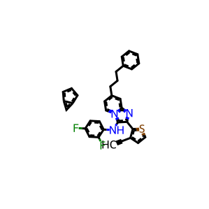 C#Cc1ccsc1-c1nc2cc(CCCc3ccccc3)ccn2c1Nc1ccc(F)cc1F.c1cc2cc-2c1